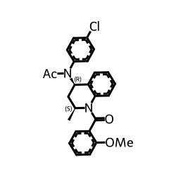 COc1ccccc1C(=O)N1c2ccccc2[C@H](N(C(C)=O)c2ccc(Cl)cc2)C[C@@H]1C